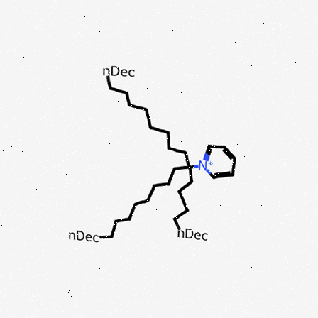 CCCCCCCCCCCCCCCCCCC(CCCCCCCCCCCCCC)(CCCCCCCCCCCCCCCCCC)[n+]1ccccc1